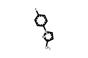 [CH2]c1ccn(-c2ccc(F)cc2)n1